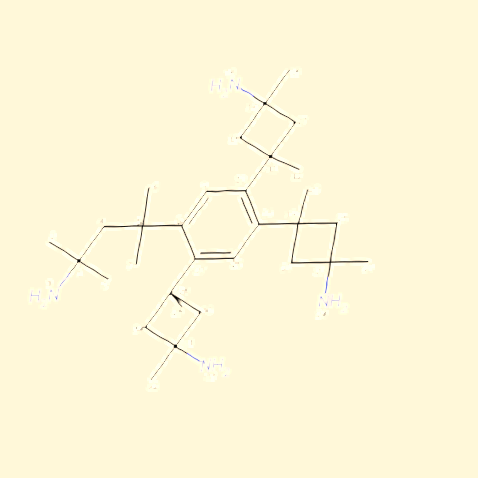 CC(C)(N)CC(C)(C)c1cc(C2(C)CC(C)(N)C2)c(C2(C)CC(C)(N)C2)cc1C1(C)CC(C)(N)C1